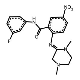 CN1CCN(C)/C(=N\c2ccc([N+](=O)[O-])cc2C(=O)Nc2cccc(F)c2)C1